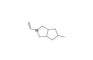 C=CN1CC2CC(C)CC2C1